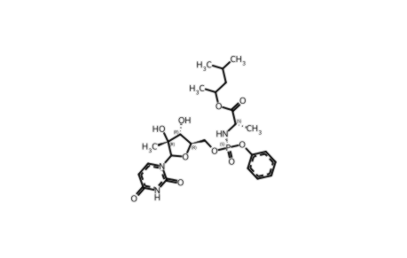 CC(C)CC(C)OC(=O)[C@H](C)N[P@](=O)(OC[C@H]1OC(n2ccc(=O)[nH]c2=O)[C@](C)(O)[C@@H]1O)Oc1ccccc1